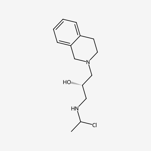 CC(Cl)NC[C@H](O)CN1CCc2ccccc2C1